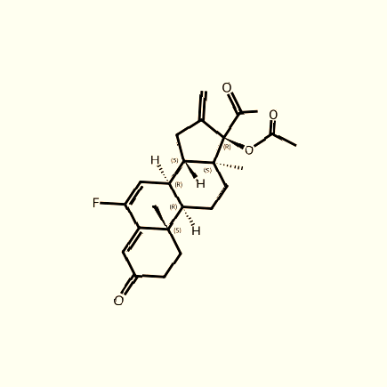 C=C1C[C@H]2[C@@H]3C=C(F)C4=CC(=O)CC[C@@]4(C)[C@@H]3CC[C@]2(C)[C@@]1(OC(C)=O)C(C)=O